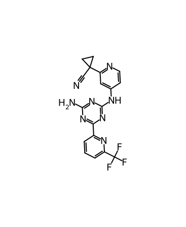 N#CC1(c2cc(Nc3nc(N)nc(-c4cccc(C(F)(F)F)n4)n3)ccn2)CC1